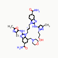 CCc1nc(C)oc1Nc1nc2cc(C(N)=O)cc(CN3CCOCC3)c2n1C/C=C/Cn1c(Nc2cc(C)nn2CCCO)nc2cc(C(N)=O)ccc21